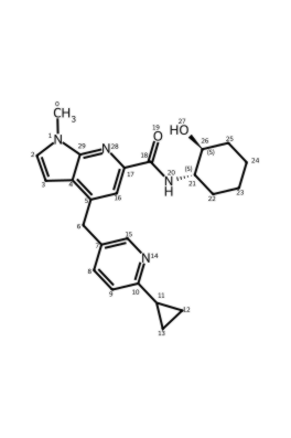 Cn1ccc2c(Cc3ccc(C4CC4)nc3)cc(C(=O)N[C@H]3CCCC[C@@H]3O)nc21